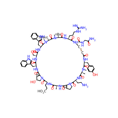 CCCCC[C@H]1C(=O)N(C)[C@@H](CCCC)C(=O)N[C@@H](CCCNC(=N)N)C(=O)N[C@H](C(=O)NCC(N)=O)CSCC(=O)N[C@@H](Cc2ccc(O)cc2)C(=O)N(C)[C@@H](C)C(=O)N[C@@H](CCN)C(=O)N2CCC[C@H]2C(=O)N[C@@H](C)C(=O)N[C@@H](CCC(=O)O)C(=O)N2C[C@H](O)C[C@H]2C(=O)N[C@@H](Cc2c[nH]c3ccccc23)C(=O)N[C@@H](CO)C(=O)N[C@@H](Cc2c[nH]c3ccccc23)C(=O)N1C